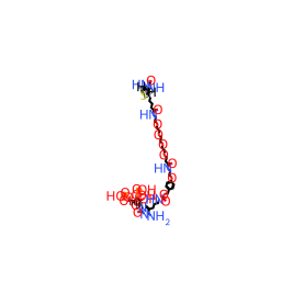 Nc1nc(=O)n([C@@H]2O[C@H](COP(=O)(O)O)C(OP(=O)(O)O)C2O)cc1CCCNC(=O)OCc1ccc(OCCNC(=O)CCOCCOCCOCCOCCNC(=O)CCCC[C@@H]2SC[C@@H]3NC(=O)N[C@@H]32)cc1